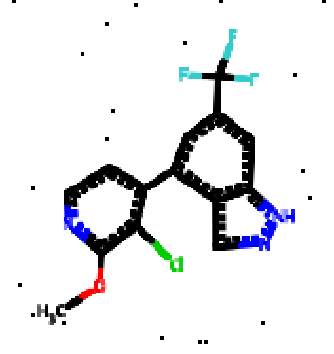 COc1nccc(-c2cc(C(F)(F)F)cc3[nH]ncc23)c1Cl